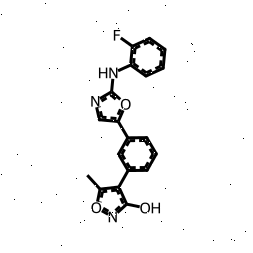 Cc1onc(O)c1-c1cccc(-c2cnc(Nc3ccccc3F)o2)c1